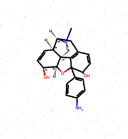 CN1CC[C@]23C4=C5C=CC(O)C4(c4ccc(N)cc4)O[C@H]2[C@@H](O)C=C[C@H]3[C@H]1C5